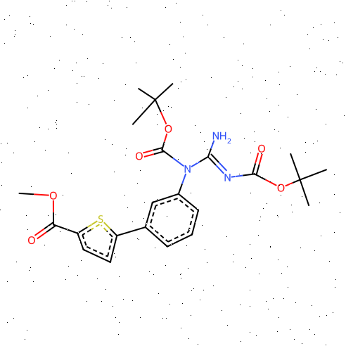 COC(=O)c1ccc(-c2cccc(N(C(=O)OC(C)(C)C)C(N)=NC(=O)OC(C)(C)C)c2)s1